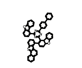 C1=CC2Oc3ccccc3C2C(c2nc(-c3ccc(-c4ccccc4)cc3)nc(-c3cccc4oc5ccccc5c34)n2)=C1c1cccc2sc3c4ccccc4ccc3c12